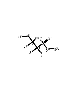 CCCCOS(=O)(=O)C(F)(F)C(F)(F)CF